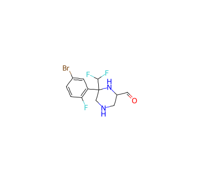 O=CC1CNCC(c2cc(Br)ccc2F)(C(F)F)N1